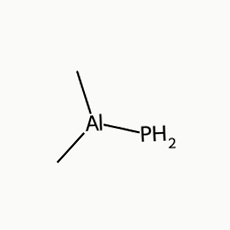 [CH3][Al]([CH3])[PH2]